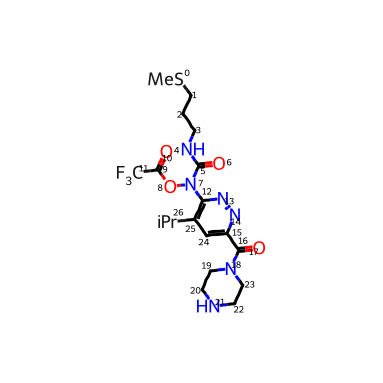 CSCCCNC(=O)N(OC(=O)C(F)(F)F)c1nnc(C(=O)N2CCNCC2)cc1C(C)C